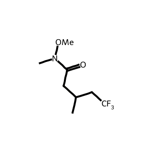 CON(C)C(=O)CC(C)CC(F)(F)F